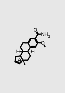 COc1cc2c(cc1C(N)=O)CC[C@@H]1[C@@H]2CC[C@]2(C)C=CC[C@@H]12